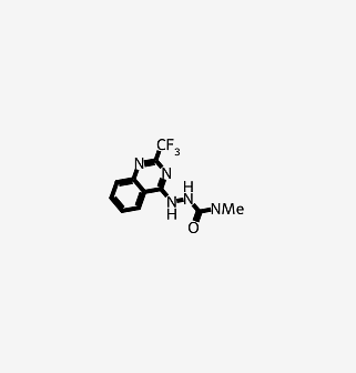 CNC(=O)NNc1nc(C(F)(F)F)nc2ccccc12